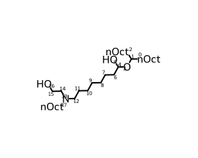 CCCCCCCCC(CCCCCCCC)OC(O)CCCCCCCN(CCO)CCCCCCCC